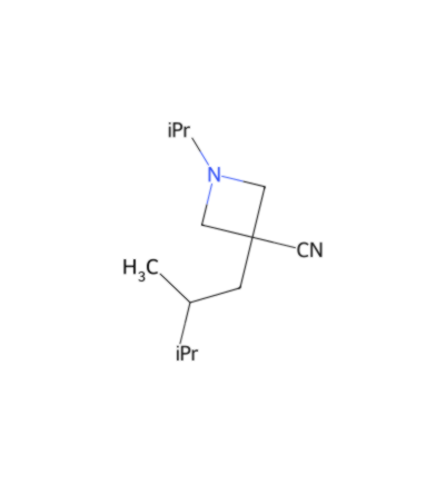 CC(C)C(C)CC1(C#N)CN(C(C)C)C1